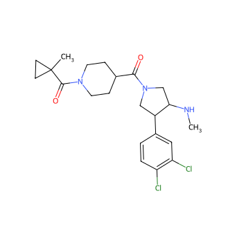 CNC1CN(C(=O)C2CCN(C(=O)C3(C)CC3)CC2)CC1c1ccc(Cl)c(Cl)c1